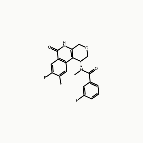 CN(C(=O)c1cccc(F)c1)[C@H]1COCc2[nH]c(=O)c3cc(F)c(F)cc3c21